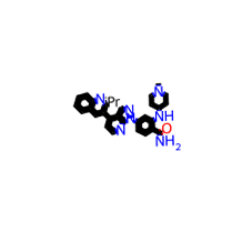 CC(C)c1nn(-c2ccc(C(N)=O)c(NC3CCN(C)CC3)c2)c2nccc(-c3cnc4ccccc4c3)c12